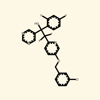 OC(c1cncnc1)(c1ccc(F)cc1F)C(F)(F)c1ccc(OCc2cccc(Cl)c2)cn1